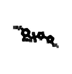 COc1cc(C(=O)O)ccc1NS(=O)(=O)c1csc(-c2ccn(C)n2)n1